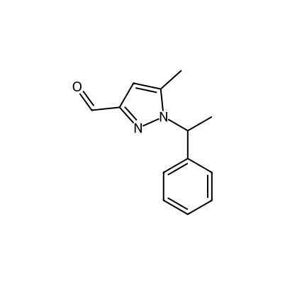 Cc1cc(C=O)nn1C(C)c1ccccc1